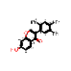 CC(C)c1cc(C(C)C)c(C(C)C)cc1-c1coc2cc(O)ccc2c1=O